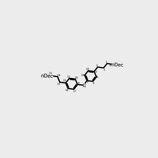 CCCCCCCCCCCCCc1ccc([I+]c2ccc(CCCCCCCCCCCC)cc2)cc1